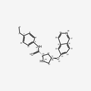 CCc1ccc(NC(=O)[C@@H]2C[C@@H](Oc3ccc4cnccc4c3)CN2)cc1